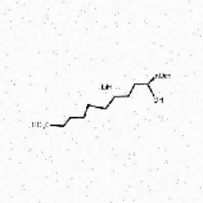 CCCCCCCC[C@@H](O)CCCCCCCCC(=O)O.[LiH]